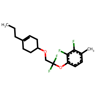 CCCC1=CCC(OCC(F)(F)Oc2ccc(C)c(F)c2F)CC1